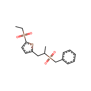 CCS(=O)(=O)c1ccc(CC(C)S(=O)(=O)Cc2ccccc2)s1